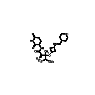 C=C(C(=O)NC1CCC(=O)NC1=O)C(C)(O[C@H]1C[C@H](NCC2CCNCC2)C1)C(C)OC